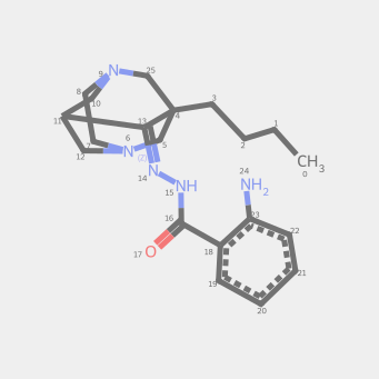 CCCCC12CN3CCN(CC(C3)/C1=N/NC(=O)c1ccccc1N)C2